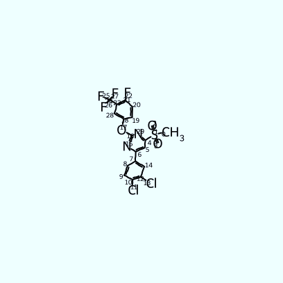 CS(=O)(=O)c1cc(-c2ccc(Cl)c(Cl)c2)nc(Oc2ccc(F)c(C(F)(F)F)c2)n1